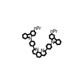 CCCc1ccc2c(c1)c1ccccc1n2-c1ccc(-c2ccc3ccc4ccc(-c5ccc(-n6c7ccccc7c7cc(CCC)ccc76)cc5)nc4c3n2)cc1